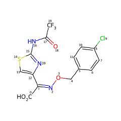 O=C(O)/C(=N/OCc1ccc(Cl)cc1)c1csc(NC(=O)C(F)(F)F)n1